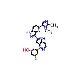 Cc1ncc(-c2ccc3[nH]nc(-c4cc5c(-c6cc(O)cc(F)c6)nccc5[nH]4)c3n2)n1C